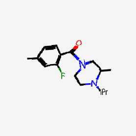 Cc1ccc(C(=O)N2CCN(C(C)C)C(C)C2)c(F)c1